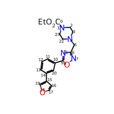 CCOC(=O)N1CCN(Cc2noc(-c3cccc(-c4ccoc4)c3)n2)CC1